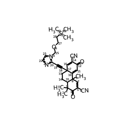 CC1(C)C(=O)C(C#N)=CC2(C)C3=CC(=O)C(C#N)=CC3(C#Cc3nccn3COCC[Si](C)(C)C)CCC12